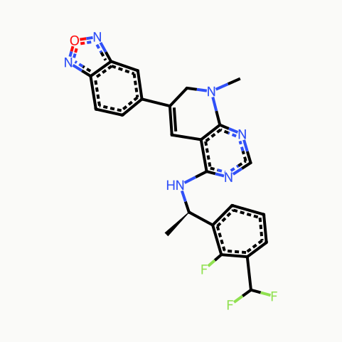 C[C@@H](Nc1ncnc2c1C=C(c1ccc3nonc3c1)CN2C)c1cccc(C(F)F)c1F